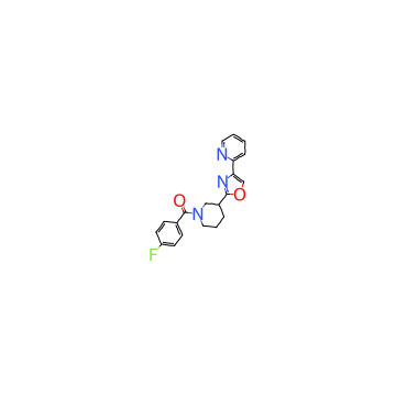 O=C(c1ccc(F)cc1)N1CCCC(c2nc(-c3ccccn3)co2)C1